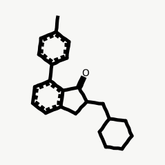 Cc1ccc(-c2cccc3c2C(=O)C(CC2CCCCC2)C3)cc1